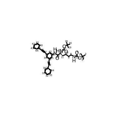 CC(C)(C)OC(=O)NCCCC[C@H](NC(=O)OC(C)(C)C)C(=O)Nc1cc(C#Cc2ccccc2)cc(C#Cc2ccccc2)c1